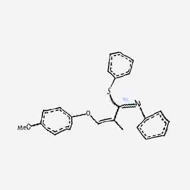 COc1ccc(OC=C(C)/C(=N\c2ccccc2)Sc2ccccc2)cc1